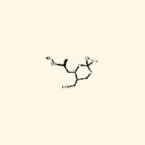 CCCCNC(=O)C[C@H]1OC(C)(C)OCC1CO